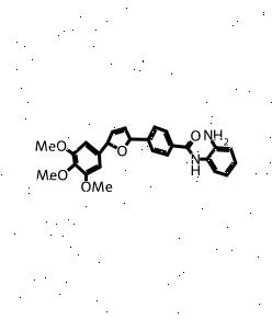 COc1cc(C2C=CC(c3ccc(C(=O)Nc4ccccc4N)cc3)O2)cc(OC)c1OC